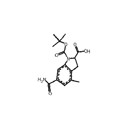 Cc1cc(C(N)=O)cc2c1CC(C(=O)O)N2C(=O)OC(C)(C)C